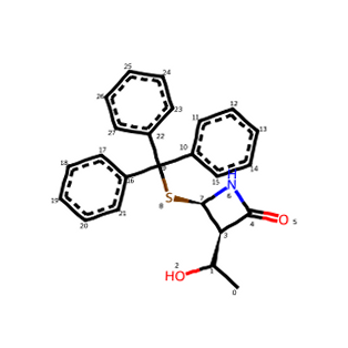 CC(O)[C@@H]1C(=O)N[C@@H]1SC(c1ccccc1)(c1ccccc1)c1ccccc1